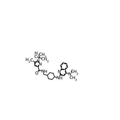 Cc1cc(C(=O)NCC2CCC(Nc3cc(N(C)C)c4ccccc4n3)CC2)nn1C(C)(C)C